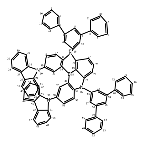 c1ccc(-c2cc(-c3ccccc3)cc(N3c4ccc(-n5c6ccccc6c6ccccc65)cc4B4c5cc(-n6c7ccccc7c7ccccc76)ccc5N(c5cc(-c6ccccc6)cc(-c6ccccc6)c5)c5cccc3c54)c2)cc1